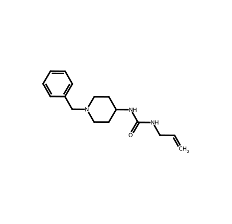 C=CCNC(=O)NC1CCN(Cc2ccccc2)CC1